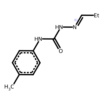 CC/C=N/NC(=O)Nc1ccc(C)cc1